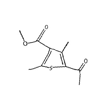 COC(=O)c1c(C)sc(C(C)=O)c1C